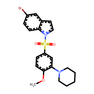 COc1ccc(S(=O)(=O)n2ccc3cc(Br)ccc32)cc1N1CCCCC1